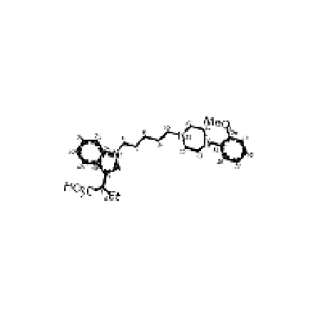 CCC(C(=O)O)c1cn(CCCCCN2CCN(c3ccccc3OC)CC2)c2ccccc12